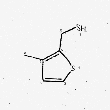 Cc1ccsc1CS